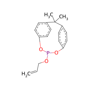 C=CCOP1Oc2ccc(cc2)C(C)(C)c2ccc(cc2)O1